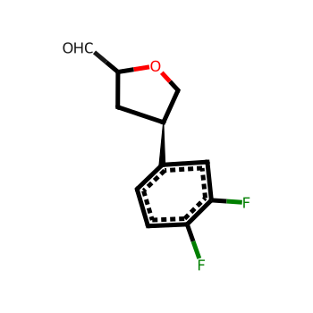 O=CC1C[C@H](c2ccc(F)c(F)c2)CO1